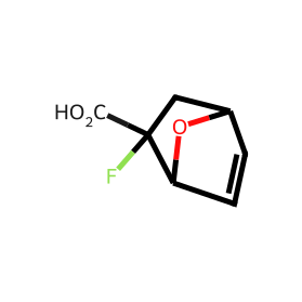 O=C(O)C1(F)CC2C=CC1O2